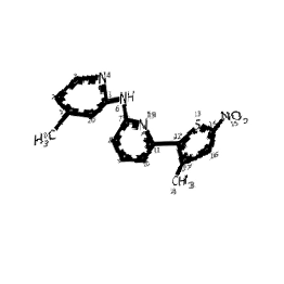 Cc1ccnc(Nc2cccc(-c3sc([N+](=O)[O-])cc3C)n2)c1